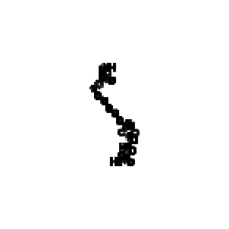 Cc1nc2c(ccc3c(=O)cc(-c4ccc(N(C)CCOCCOCCOCCOCCOCCn5nnc6c5-c5ccccc5CN(C(=O)CCNC(=O)CCN5C(=O)CC(S)C5=O)c5ccccc5-6)cc4)oc32)[nH]1